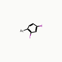 CC(=O)c1ccc(I)cc1I